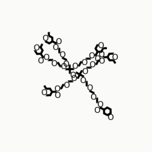 CC1CC(C(=O)OCCOCCOCC(COCCOCCOCCOC(=O)C2CCC3OC3C2)(COCCOCCOC(=O)C2CCOC(C)C2)COCC(COCCOCCOC(=O)C2CCOC(C)C2)(COCCOCCOC(=O)C2CCOC(C)C2)COCCOCCOC(=O)C2CCOC(C)C2)CCO1